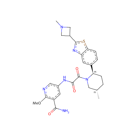 COc1ncc(NC(=O)C(=O)N2C[C@@H](C)CC[C@@H]2c2ccc3sc(C4CN(C)C4)nc3c2)cc1C(N)=O